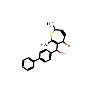 CC1=C(C(O)c2ccc(-c3ccccc3)cc2)C(Br)C#CC(C)S1